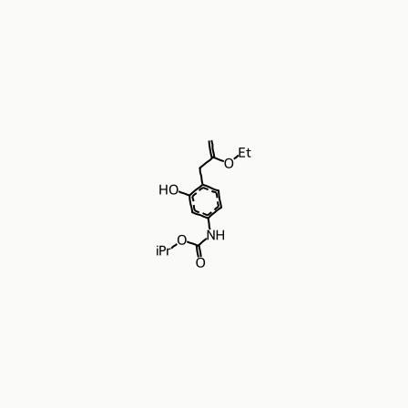 C=C(Cc1ccc(NC(=O)OC(C)C)cc1O)OCC